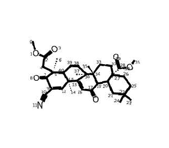 COC(=O)C[C@]1(C)C(=O)C(C#N)=C[C@]2(C)C3=CC(=O)C4C5CC(C)(C)CC[C@]5(C(=O)OC)CC[C@@]4(C)[C@]3(C)CCC21